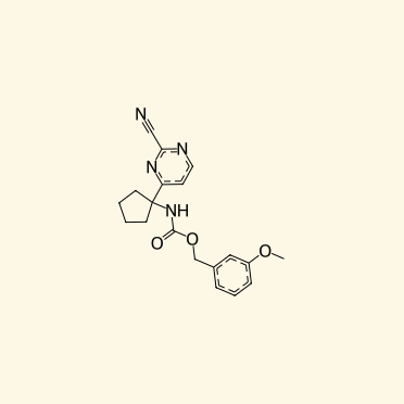 COc1cccc(COC(=O)NC2(c3ccnc(C#N)n3)CCCC2)c1